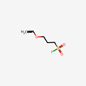 C=COCCCS(=O)(=O)F